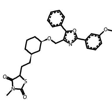 COc1cccc(-c2nc(CO[C@@H]3CCC[C@H](CCC4SC(=O)N(C)C4=O)C3)c(-c3ccccc3)o2)c1